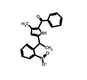 Cc1cc(C(C)c2ccccc2[N+](=O)[O-])[nH]c1C(=O)c1ccccc1